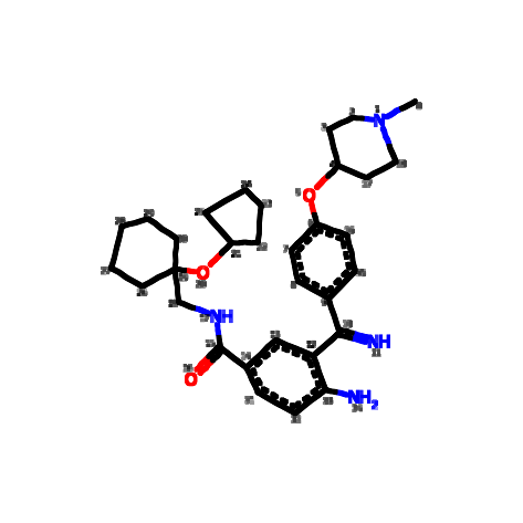 CN1CCC(Oc2ccc(C(=N)c3cc(C(=O)NCC4(OC5CCCC5)CCCCC4)ccc3N)cc2)CC1